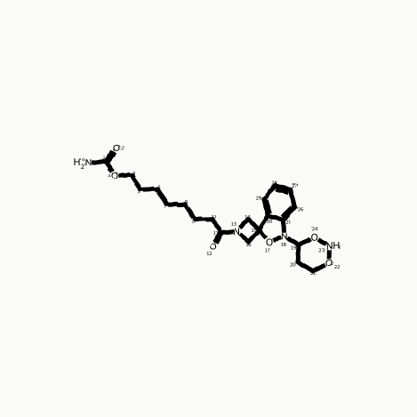 NC(=O)OCCCCCCCC(=O)N1CC2(C1)ON(C1CCONO1)c1ccccc12